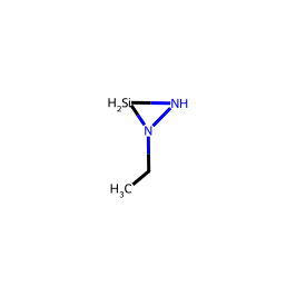 CCN1N[SiH2]1